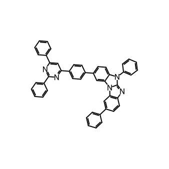 c1ccc(-c2ccc3nc4n(-c5ccccc5)c5ccc(-c6ccc(-c7cc(-c8ccccc8)nc(-c8ccccc8)n7)cc6)cc5n4c3c2)cc1